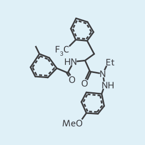 CCN(Nc1ccc(OC)cc1)C(=O)C(Cc1ccccc1C(F)(F)F)NC(=O)c1cccc(C)c1